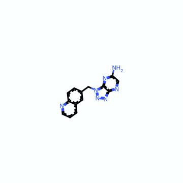 Nc1cnc2nnn(Cc3ccc4ncccc4c3)c2n1